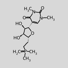 C=P(C)(C)CC[C@H]1O[C@@H](c2cn(C)c(=O)n(C)c2=O)[C@H](O)[C@@H]1O